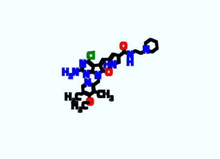 COc1c(C)cnc(CN2C(=O)/C(=C\c3cc(C(=O)NCCN4CCCCC4)c[nH]3)c3c(Cl)nc(N)nc32)c1C